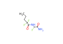 CCCC(F)(F)C(=O)NC(F)C(N)=O